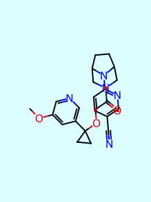 COc1cncc(C2(OCC(=O)N3CC4CCC(C3)N4c3ccc(C#N)cn3)CC2)c1